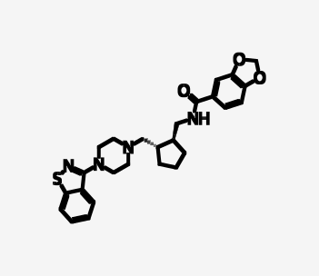 O=C(NC[C@H]1CCC[C@@H]1CN1CCN(c2nsc3ccccc23)CC1)c1ccc2c(c1)OCO2